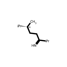 CC(C)C(=N)CC[C@@H](C)C(C)C